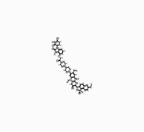 CCOc1cc(N2CCC(N3CCN(C(=O)COc4cccc5c4n(C)c(=O)n5C4CCC(=O)NC4=O)CC3)CC2)c(CC)cc1Nc1ncc(Br)c(Nc2ccc3nc(CC)ccc3c2P(C)(C)=O)n1